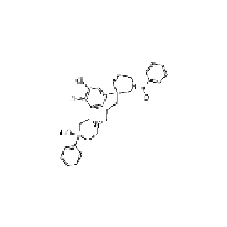 O=C(c1ccccc1)N1CCCC(CCCN2CCC(O)(c3ccccc3)CC2)(c2ccc(Cl)c(Cl)c2)C1